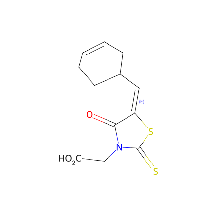 O=C(O)CN1C(=O)/C(=C\C2CC=CCC2)SC1=S